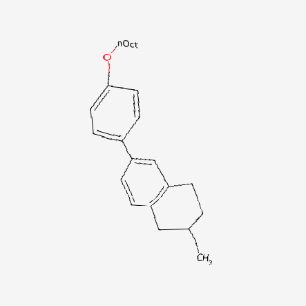 CCCCCCCCOc1ccc(-c2ccc3c(c2)CCC(C)C3)cc1